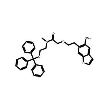 COc1cc2ccoc2cc1CCOCC(=O)N(C)CCOC(c1ccccc1)(c1ccccc1)c1ccccc1